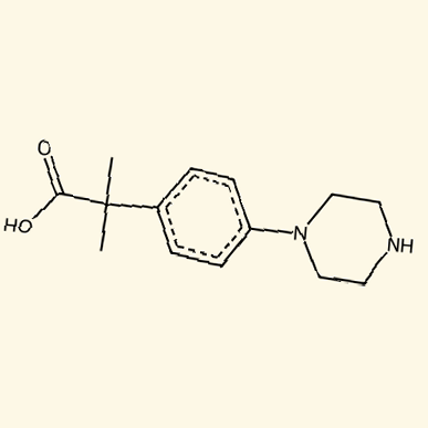 CC(C)(C(=O)O)c1ccc(N2CCNCC2)cc1